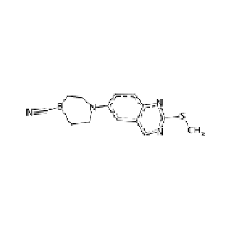 CSc1ncc2cc(N3CCB(C#N)CC3)ccc2n1